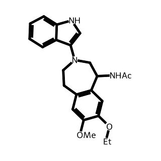 CCOc1cc2c(cc1OC)CCN(c1c[nH]c3ccccc13)CC2NC(C)=O